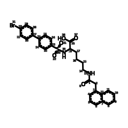 O=C(Cc1cccc2ccccc12)NCCCCC(NS(=O)(=O)c1ccc(-c2ccc(Br)cc2)cc1)C(=O)O